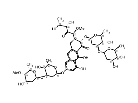 CO[C@@H]1[C@H](C)O[C@@H](O[C@@H]2C[C@H](Oc3cc(O)c4c(O)c5c(cc4c3)C[C@@H]([C@H](OC)C(=O)[C@@H](O)[C@@H](C)O)[C@H](O[C@@H]3C[C@H](OC4C[C@H](O)[C@@H](O)[C@H](C)O4)[C@@H](O)[C@H](C)O3)C5=O)O[C@H](C)[C@@H]2O)C[C@@H]1O